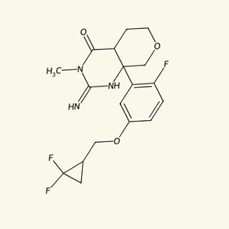 CN1C(=N)NC2(c3cc(OCC4CC4(F)F)ccc3F)COCCC2C1=O